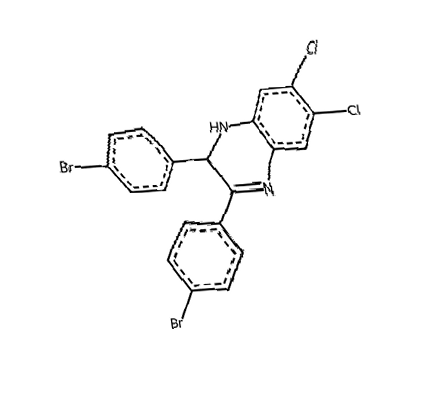 Clc1cc2c(cc1Cl)NC(c1ccc(Br)cc1)C(c1ccc(Br)cc1)=N2